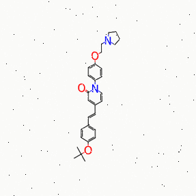 CC(C)(C)Oc1ccc(/C=C/c2ccn(-c3ccc(OCCN4CCCC4)cc3)c(=O)c2)cc1